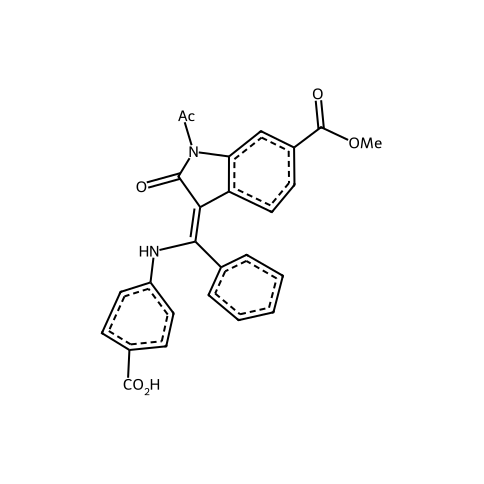 COC(=O)c1ccc2c(c1)N(C(C)=O)C(=O)/C2=C(\Nc1ccc(C(=O)O)cc1)c1ccccc1